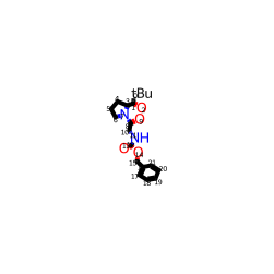 CC(C)(C)C(=O)C1CCCN1C(=O)CNC(=O)OCc1ccccc1